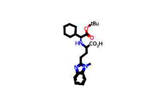 Cn1c(CCC(N[C@H](C(=O)OC(C)(C)C)C2CCCCC2)C(=O)O)nc2ccccc21